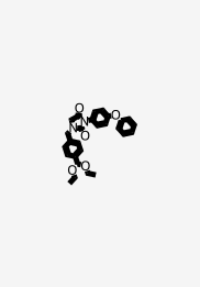 CCOC(OCC)c1ccc(CN2CC(=O)N(c3ccc(Oc4ccccc4)cc3)C2=O)cc1